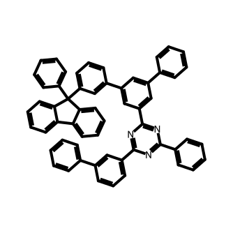 c1ccc(-c2cccc(-c3nc(-c4ccccc4)nc(-c4cc(-c5ccccc5)cc(-c5cccc(C6(c7ccccc7)c7ccccc7-c7ccccc76)c5)c4)n3)c2)cc1